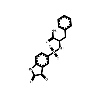 NC(=O)C(Cc1ccccc1)NS(=O)(=O)c1ccc2c(c1)C(=O)C(=O)N2